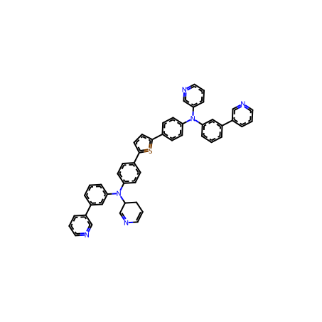 C1=CN=CC(N(c2ccc(-c3ccc(-c4ccc(N(c5cccnc5)c5cccc(-c6cccnc6)c5)cc4)s3)cc2)c2cccc(-c3cccnc3)c2)C1